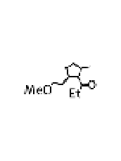 CCC(=O)C1C(C)CCC1CCOC